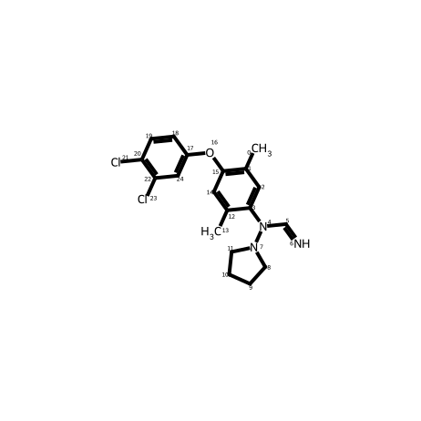 Cc1cc(N(C=N)N2CCCC2)c(C)cc1Oc1ccc(Cl)c(Cl)c1